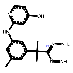 Cc1cc(Nc2cc(O)ccn2)cc(C(C)(C)/C(N=N)=N/N)c1